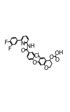 O=C(O)OC1CCOc2cc(Oc3ccc(C(=O)Nc4cccc(-c5ccc(F)c(F)c5)n4)cc3)c(Cl)cc21